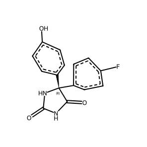 O=C1NC(=O)[C@@](c2ccc(O)cc2)(c2ccc(F)cc2)N1